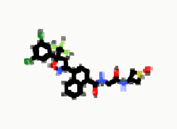 O=C(CNC(=O)c1ccc(C2=NOC(c3cc(Cl)cc(Cl)c3)(C(F)(F)F)C2)c2ccccc12)NC1C[S+]([O-])C1